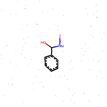 OC(NI)c1ccccc1